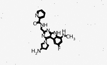 CNc1cc(F)cc2c1[nH]c1nc(CNC(=O)c3ccccn3)nc(N3CCC(N)C3)c12